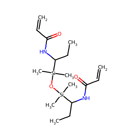 C=CC(=O)NC(CC)[Si](C)(C)O[Si](C)(C)C(CC)NC(=O)C=C